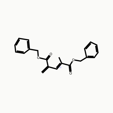 C=C(/C=C(\C)C(=O)OCc1ccccc1)C(=O)OCc1ccccc1